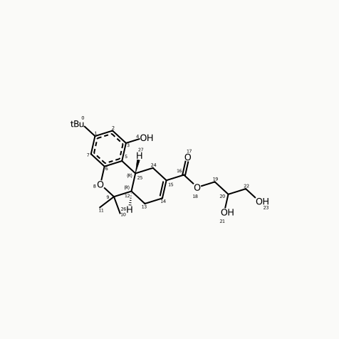 CC(C)(C)c1cc(O)c2c(c1)OC(C)(C)[C@@H]1CC=C(C(=O)OCC(O)CO)C[C@@H]21